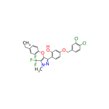 CCc1ccc(Oc2c(-c3ccc(OCc4ccc(Cl)c(Cl)c4)cc3O)nn(C)c2C(F)(F)F)cc1